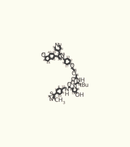 Cc1ncsc1-c1ccc(CNC(=O)[C@@H]2C[C@@H](O)CN2C(=O)[C@@H](NC(=O)COCCOc2ccc(-n3cc(-c4ccc5c(c4)CCC5=O)c(-c4ccncc4)n3)cc2)C(C)(C)C)cc1